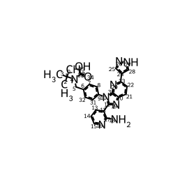 CC(C)(C)N(Cc1ccc(-n2c(-c3cccnc3N)nc3ccc(-c4cn[nH]c4)nc32)cc1)C(=O)O